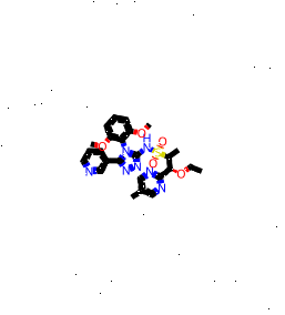 CCO[C@@H](c1ncc(C)cn1)C(C)S(=O)(=O)Nc1nnc(-c2cccnc2)n1-c1c(OC)cccc1OC